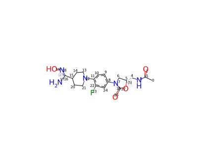 CC(=O)NC[C@H]1CN(c2ccc(N3CCC(/C(N)=N/O)CC3)c(F)c2)C(=O)O1